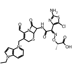 CCn1ccc2c1ccc[n+]2CC1=C(C=O)N2C(=O)C(NC(=O)/C(=N\O[C@@H](C)C(=O)O)c3nc(N)sc3Cl)C2SC1